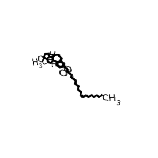 CCCCCCCC/C=C\CCCCCCCC(=O)Oc1ccc2c(c1)CCC[C@@H]1[C@@H]2CCC2(C)C(=O)CC[C@@H]12